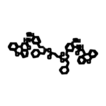 CC(C)(C)c1ccc(CC[C@@H](CC2CCCCC2)OC(=O)CCC(=O)O[C@@H](CCc2ccc(C(C)(C)C)c(NC(=O)CC3c4ccccc4Oc4ccccc43)c2)CC2CCCCC2)cc1NC(=O)CC1c2ccccc2Oc2ccccc21